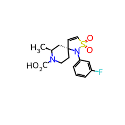 C[C@H]1C[C@@]2(C=CS(=O)(=O)N2c2cccc(F)c2)CCN1C(=O)O